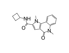 Cn1c(C(=O)NC2CCC2)cc2c(=O)n(C)c3ccccc3c21